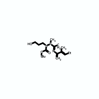 C=C(/N=C(\C)N(C)N(CCCO)C(=O)OC(C)(C)C)/C(C)=C/CC